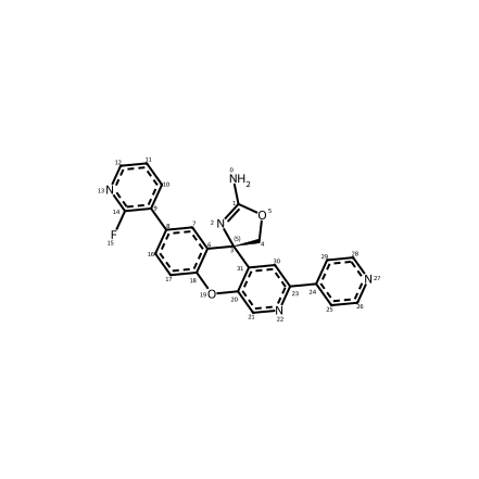 NC1=N[C@@]2(CO1)c1cc(-c3cccnc3F)ccc1Oc1cnc(-c3ccncc3)cc12